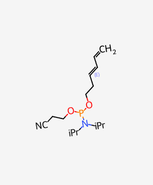 C=C/C=C/CCOP(OCCC#N)N(C(C)C)C(C)C